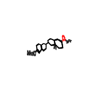 CCCO[C@@H]1CC[C@@H]2CC(C3CCc4cc(OC)ccc4C3)CCC2C1